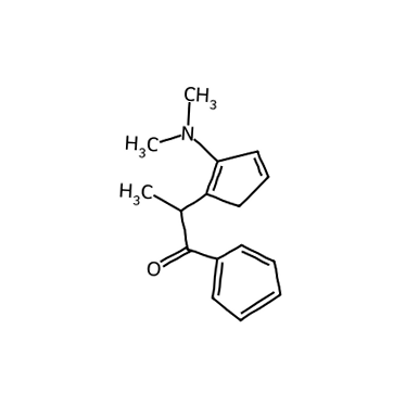 CC(C(=O)c1ccccc1)C1=C(N(C)C)C=CC1